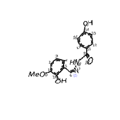 COc1cccc(/C=N\NC(=O)c2ccc(O)cc2)c1O